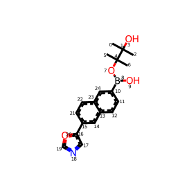 CC(C)(O)C(C)(C)OB(O)c1ccc2cc(-c3cnco3)ccc2c1